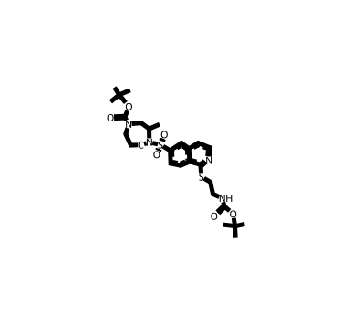 CC1CN(C(=O)OC(C)(C)C)CCCN1S(=O)(=O)c1ccc2c(SCCNC(=O)OC(C)(C)C)nccc2c1